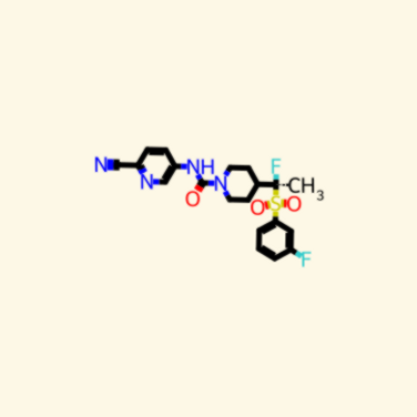 C[C@@](F)(C1CCN(C(=O)Nc2ccc(C#N)nc2)CC1)S(=O)(=O)c1cccc(F)c1